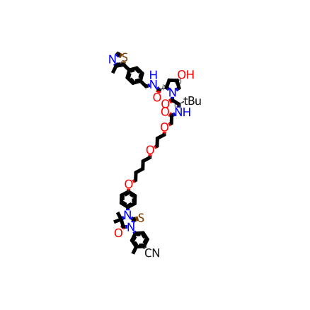 Cc1cc(N2C(=O)C(C)(C)N(c3ccc(OCCCCCOCCCOCC(=O)N[C@H](C(=O)N4C[C@H](O)C[C@H]4C(=O)NCc4ccc(-c5scnc5C)cc4)C(C)(C)C)cc3)C2=S)ccc1C#N